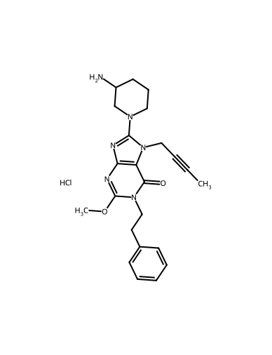 CC#CCn1c(N2CCCC(N)C2)nc2nc(OC)n(CCc3ccccc3)c(=O)c21.Cl